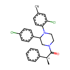 C[C@H](C(=O)N1CCN(c2ccc(C#N)cc2Cl)C(c2ccc(Cl)cc2)C1)c1ccccc1